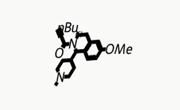 C#CC(=O)N1C(C2CCN(C)CC2)c2ccc(OC)cc2C[C@@H]1CCCC